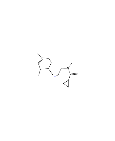 C=C(C1CC1)N(C)C/C=C\C1CCC(C)=CC1C